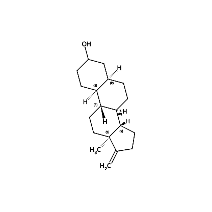 C=C1CC[C@H]2[C@@H]3CC[C@@H]4CC(O)CC[C@@H]4[C@H]3CC[C@]12C